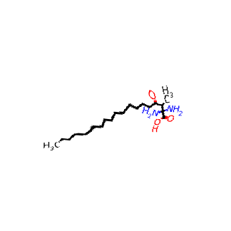 CCCCCCCCCCCCCCCC(=O)C(C)C(N)(N)C(=O)O